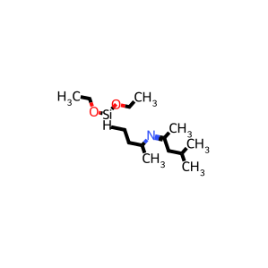 CCO[SiH](CCCC(C)N=C(C)CC(C)C)OCC